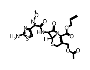 C=CCOC(=O)C1=C(COC(C)=O)CS[C@@H]2C(NC(=O)/C(=N\OC)c3csc(N)n3)C(=O)N12